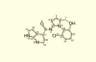 O=C(/N=c1\scc(CO)n1-c1ccccc1Cl)c1ccnc2[nH]ccc12